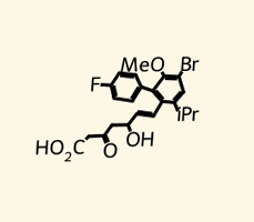 COc1c(Br)cc(C(C)C)c(C=CC(O)CC(=O)CC(=O)O)c1-c1ccc(F)cc1